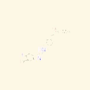 COC(=O)/C=C/c1ccc(CN[C@H]2CCN(Cc3ccc(I)c(Br)c3)C2)cc1